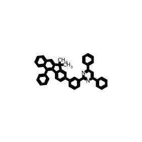 CC1(C)c2cc(-c3cccc(-c4nc(-c5ccccc5)cc(-c5ccccc5)n4)c3)ccc2-c2c1cc1ccccc1c2-c1ccccc1